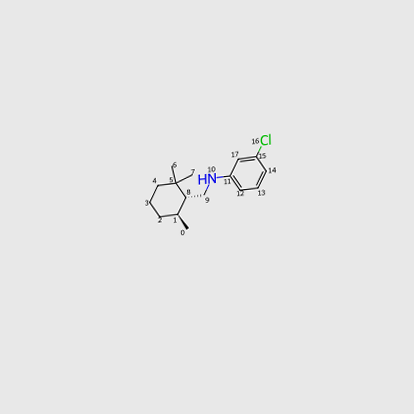 C[C@H]1CCCC(C)(C)[C@@H]1CNc1cccc(Cl)c1